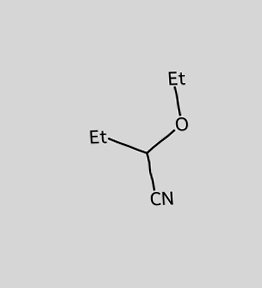 CCOC(C#N)CC